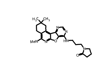 CNc1nc2oc3c(NCCCN4CCCC4=O)ncnc3c2c2c1CCC(C)(C)C2